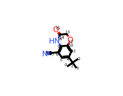 CC(C)(C)c1cc(C#N)c2c(c1)OCC(=O)N2